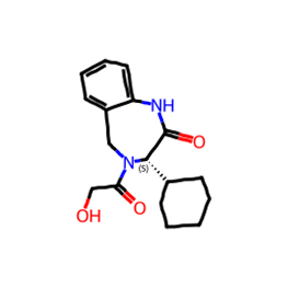 O=C1Nc2ccccc2CN(C(=O)CO)[C@H]1C1CCCCC1